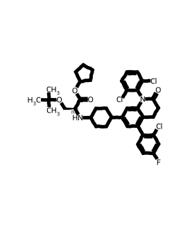 CC(C)(C)OC[C@H](NC1CCC(c2cc(-c3ccc(F)cc3Cl)c3c(c2)N(c2c(Cl)cccc2Cl)C(=O)CC3)CC1)C(=O)OC1CCCC1